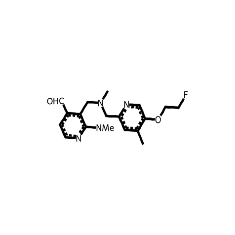 CNc1nccc(C=O)c1CN(C)Cc1cc(C)c(OCCF)cn1